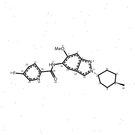 COc1cc2nn([C@H]3CC[C@H](C)CC3)cc2cc1NC(=O)c1ccc(F)cn1